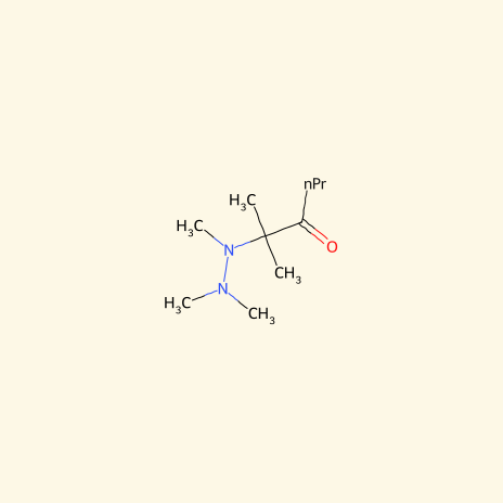 CCCC(=O)C(C)(C)N(C)N(C)C